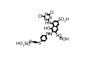 O=S(=O)(O)OOC#CSc1ccc(N=Nc2c(SOOO)cc3cc(S(=O)(=O)O)cc(Nc4nc(Cl)nc(Cl)n4)c3c2O)cc1